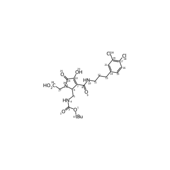 CC(C)(C)OC(=O)NCC1C(C(=O)NCCCc2ccc(Cl)c(Cl)c2)=C(O)C(=O)N1CC(=O)O